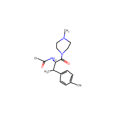 CCC(=O)N[C@@H](C(=O)N1CCN(C)CC1)C(C)c1ccc(C#N)cc1